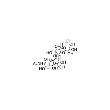 CC(=O)N[C@@H]1[C@@H](O)[C@H](O[C@@H]2O[C@H](CO)[C@@H](O)[C@H](O[C@H]3O[C@H](CO)[C@@H](O)[C@H](O)[C@@H]3O[C@H]3O[C@H](CO)[C@@H](O)[C@H](O)[C@@H]3O)[C@@H]2O)[C@@H](CO)O[C@@H]1O